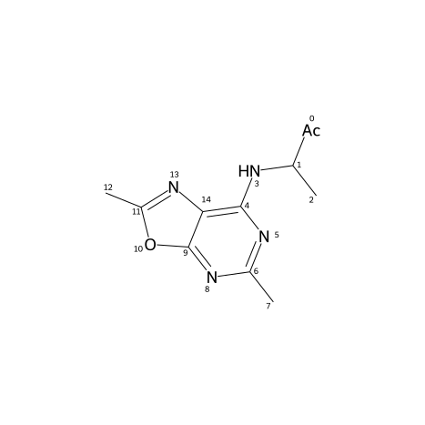 CC(=O)C(C)Nc1nc(C)nc2oc(C)nc12